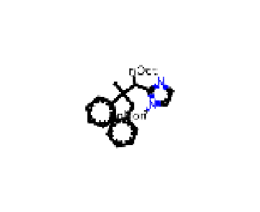 CCCCCCCCCn1ccnc1C(CCCCCCCC)C(C)(Cc1ccccc1)c1ccccc1